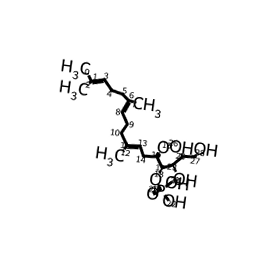 CC(C)=CCCC(C)=CCCC(C)=CCC(=O)[C@H](OP(=O)(O)O)[C@H](O)[C@H](O)CO